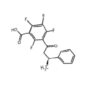 C[C@@H](CC(=O)c1c(F)c(F)c(F)c(C(=O)O)c1F)c1ccccc1